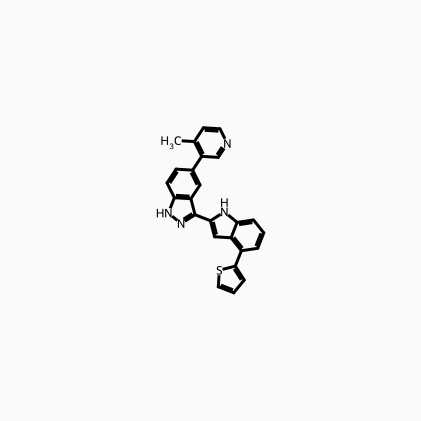 Cc1ccncc1-c1ccc2[nH]nc(-c3cc4c(-c5cccs5)cccc4[nH]3)c2c1